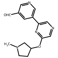 CN1CCC(Oc2cncc(-c3cncc(C=O)c3)n2)C1